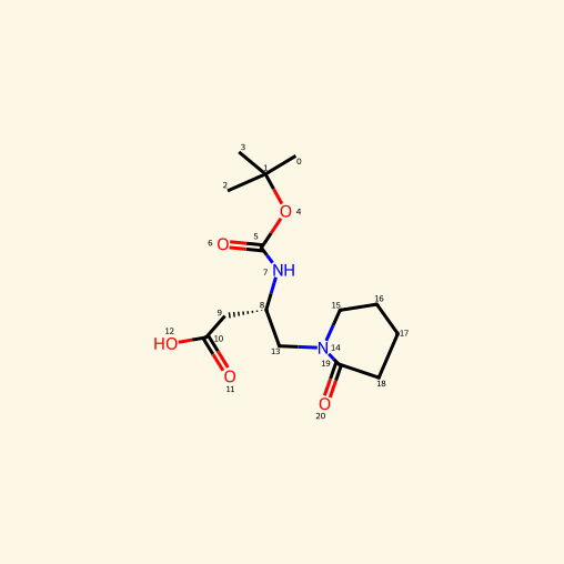 CC(C)(C)OC(=O)N[C@@H](CC(=O)O)CN1CCCCC1=O